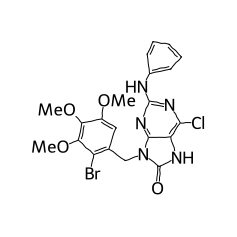 COc1cc(Cn2c(=O)[nH]c3c(Cl)nc(Nc4ccccc4)nc32)c(Br)c(OC)c1OC